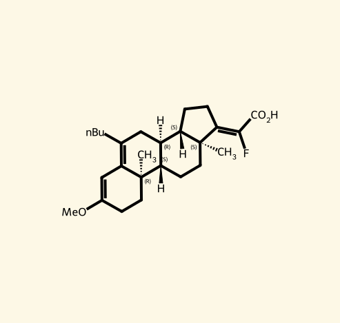 CCCCC1=C2C=C(OC)CC[C@]2(C)[C@H]2CC[C@]3(C)C(=C(F)C(=O)O)CC[C@H]3[C@@H]2C1